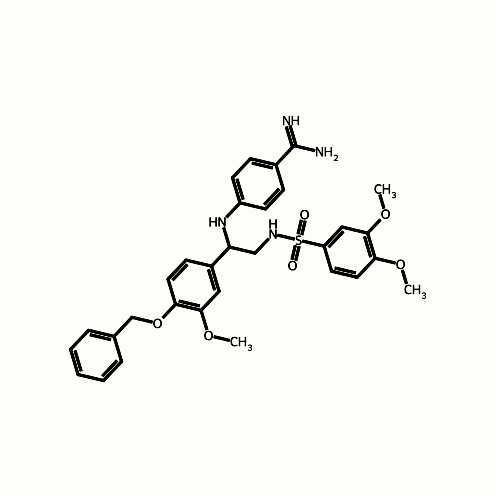 COc1ccc(S(=O)(=O)NCC(Nc2ccc(C(=N)N)cc2)c2ccc(OCc3ccccc3)c(OC)c2)cc1OC